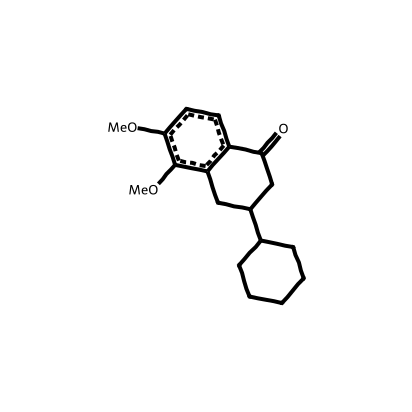 COc1ccc2c(c1OC)CC(C1CCCCC1)CC2=O